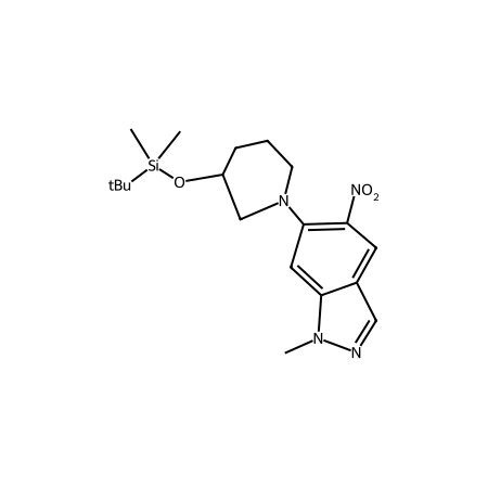 Cn1ncc2cc([N+](=O)[O-])c(N3CCCC(O[Si](C)(C)C(C)(C)C)C3)cc21